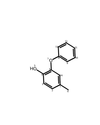 Cc1ccc(O)c(Oc2ccccc2)c1